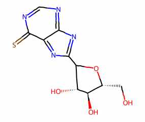 OC[C@H]1OC(C2=NC3=NC=NC(=S)C3=N2)[C@@H](O)[C@@H]1O